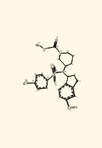 COc1ccc2c(c1)CCC2N(C1CCCN(C(=O)OC(C)(C)C)C1)S(=O)(=O)c1ccc(Cl)cc1